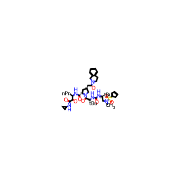 CCCC(NC(=O)[C@@H]1C[C@@H](CC(=O)N2CCc3ccccc3C2)CN1C(=O)[C@@H](NC(=O)N[C@H](CN(C)S(=O)(=O)C1=CC=CC1)C(C)(C)C)C(C)(C)C)C(=O)C(=O)NC1CC1